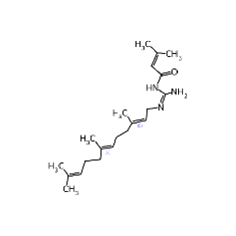 CC(C)=CCC/C(C)=C/CC/C(C)=C/CN=C(N)NC(=O)C=C(C)C